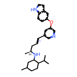 CC1CCC(C(C)C)C(N[C@@H](C)C/C=C/c2cncc(Oc3ccc4[nH]ccc4c3)c2)C1